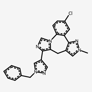 Cn1cc2c(n1)-c1cc(Cl)ccc1-n1cnc(-c3cnn(Cc4ccccc4)c3)c1C2